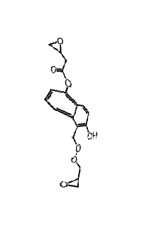 O=C(CC1CO1)Oc1cccc2c(COOCC3CO3)c(O)ccc12